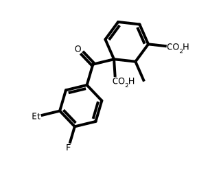 CCc1cc(C(=O)C2(C(=O)O)C=CC=C(C(=O)O)C2C)ccc1F